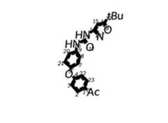 CC(=O)c1ccc(Oc2ccc(NC(=O)Nc3cc(C(C)(C)C)on3)cc2)cc1